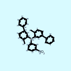 Cc1ccc(-c2ccccc2)cc1N(c1cccc([N+](=O)[O-])c1)c1cc(-c2ccccc2)ccc1C